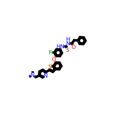 CN(C)Cc1ccc(-c2cc3cccc(Oc4ccc(NC(=S)NC(=O)Cc5ccccc5)cc4F)c3s2)nc1